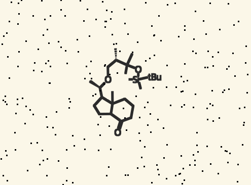 C[C@@H](OC[C@H](C)C(C)(C)O[Si](C)(C)C(C)(C)C)C1CCC2C(=O)CCCC21C